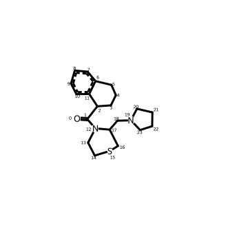 O=C(C1CCCc2ccccc21)N1CCSCC1CN1CCCC1